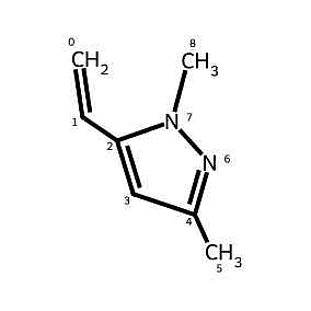 C=Cc1cc(C)nn1C